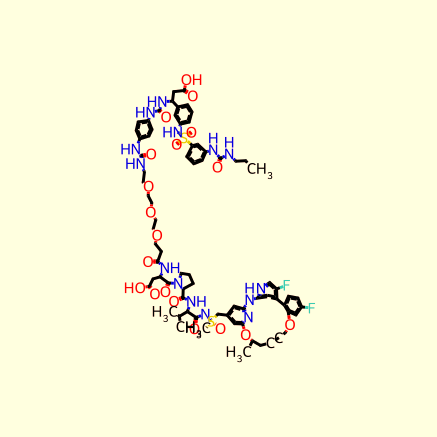 CCCNC(=O)Nc1cccc(S(=O)(=O)Nc2cccc(C(CC(=O)O)NC(=O)Nc3ccc(NC(=O)NCCOCCOCCOCCC(=O)NC(CC(=O)O)C(=O)N4CCCC4C(=O)NC(C(=O)N=S(C)(=O)Cc4cc5nc(c4)OC(C)CCCCOc4cc(F)ccc4-c4cc(ncc4F)N5)C(C)C)cc3)c2)c1